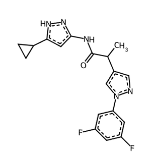 CC(C(=O)Nc1cc(C2CC2)[nH]n1)c1cnn(-c2cc(F)cc(F)c2)c1